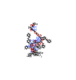 CCC(C)[C@H](NC(=O)[C@H](Cc1ccccc1)NC(=O)[C@H](Cc1ccc(CCc2ccccc2)cc1)NC(=O)[C@H](CN)NC(=O)[C@@H](NC(=O)[C@H](COCc1ccccc1)NC(=O)[C@H](Cc1ccc(CCc2ccccc2)cc1)NC(=O)COCCOCCNC(=O)[C@H](CC)NC(=O)OC(C)(C)C)C(C)OCc1ccccc1)C(=O)N[C@@H](CCSC)C(=O)O/N=C(/c1ccc(C)cc1)c1ccc([N+](=O)[O-])cc1